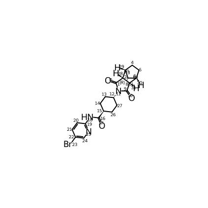 O=C1[C@@H]2[C@@H]3CC[C@@H](C3)[C@@H]2C(=O)N1[C@H]1CC[C@H](C(=O)Nc2ccc(Br)cn2)CC1